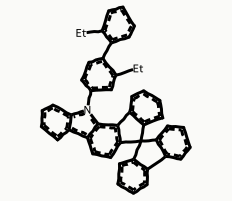 CCc1ccccc1-c1ccc(-n2c3ccccc3c3ccc4c(c32)-c2ccccc2C42c3ccccc3-c3ccccc32)cc1CC